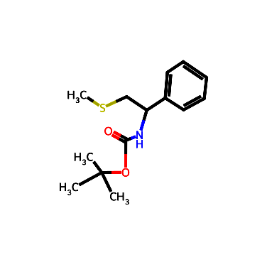 CSCC(NC(=O)OC(C)(C)C)c1ccccc1